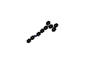 C(=C\c1ccc(-c2ccc(-c3ccc(N(c4ccccc4)c4ccc(-n5c6ccccc6c6ccccc65)cc4)cc3)cc2)cc1)/c1ccc(-c2ccccc2)cc1